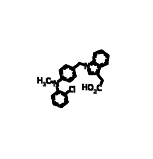 CN(c1ccc(Cn2cc(CC(=O)O)c3ccccc32)cc1)c1ccccc1Cl